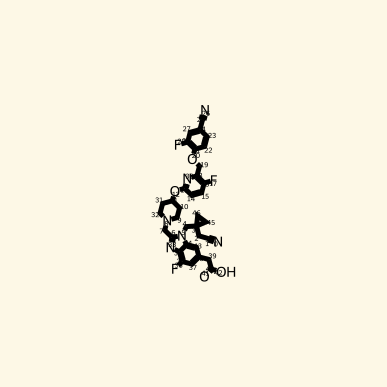 N#CCC1(Cn2c(CN3CCC(Oc4ccc(F)c(COc5ccc(C#N)cc5F)n4)CC3)nc3c(F)cc(CC(=O)O)cc32)CC1